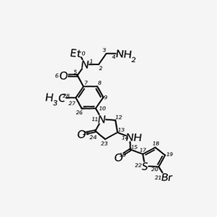 CCN(CCN)C(=O)c1ccc(N2CC(NC(=O)c3ccc(Br)s3)CC2=O)cc1C